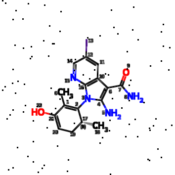 CC1=C(n2c(N)c(C(N)=O)c3cc(I)cnc32)[C@H](C)CC=C1O